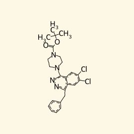 CC(C)(C)OC(=O)N1CCN(c2nnc(Cc3ccccc3)c3cc(Cl)c(Cl)cc23)CC1